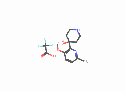 Cc1ccc(OC(C)C)c(C2(O)CCNCC2)n1.O=C(O)C(F)(F)F